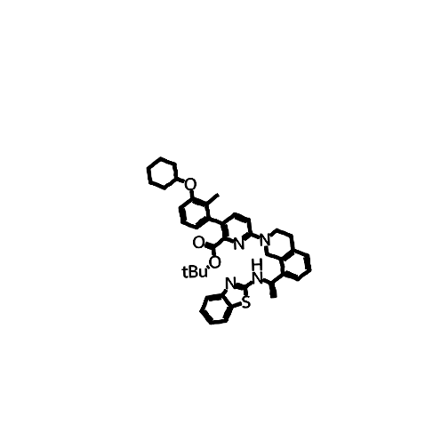 C=C(Nc1nc2ccccc2s1)c1cccc2c1CN(c1ccc(-c3cccc(OC4CCCCC4)c3C)c(C(=O)OC(C)(C)C)n1)CC2